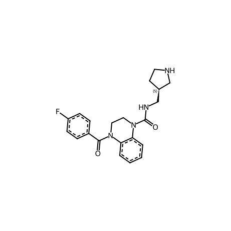 O=C(NC[C@H]1CCNC1)N1CCN(C(=O)c2ccc(F)cc2)c2ccccc21